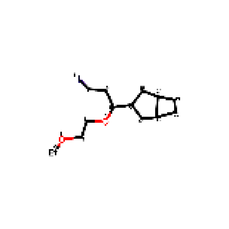 CCOCCOC(CCI)C1CC2CCC2C1